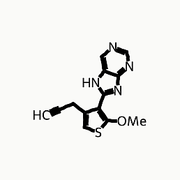 C#CCc1csc(OC)c1-c1nc2ncncc2[nH]1